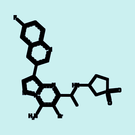 CC(NC1CCS(=O)(=O)C1)c1nc2c(-c3cnc4ccc(F)cc4c3)cnn2c(N)c1Br